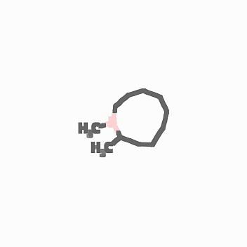 CB1CCCCCCCCC1C